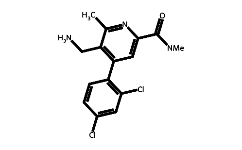 CNC(=O)c1cc(-c2ccc(Cl)cc2Cl)c(CN)c(C)n1